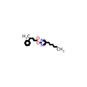 CCCCCCc1cnc(OC(=O)/C=C/C(C)c2ccccc2)nc1